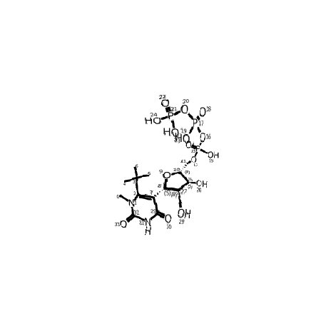 Cn1c(C(C)(C)C)c([C@@H]2O[C@H](COP(=O)(O)OP(=O)(O)OP(=O)(O)O)[C@@H](O)[C@H]2O)c(=O)[nH]c1=O